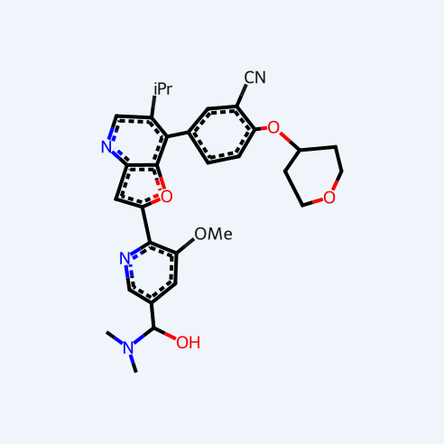 COc1cc(C(O)N(C)C)cnc1-c1cc2ncc(C(C)C)c(-c3ccc(OC4CCOCC4)c(C#N)c3)c2o1